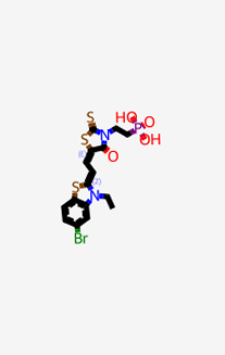 CCN1/C(=C/C=C2/SC(=S)N(CCP(=O)(O)O)C2=O)Sc2ccc(Br)cc21